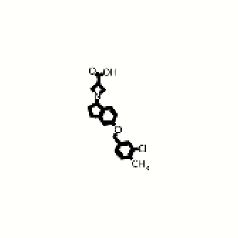 Cc1ccc(COc2ccc3c(c2)CCC3N2CC(C(=O)O)C2)cc1Cl